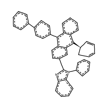 C1=CC[C@@H](c2c3ccccc3c(-c3ccc(-c4ccccc4)cc3)c3ccc(-c4nc5ccccc5n4-c4ccccc4)cc23)C=C1